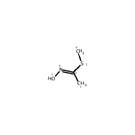 CSC(C)=NO